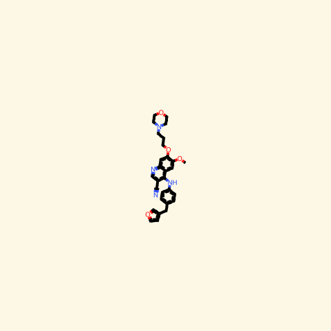 COc1cc2c(Nc3ccc(Cc4ccoc4)cc3)c(C#N)cnc2cc1OCCCN1CCOCC1